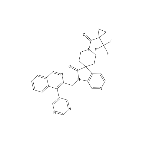 O=C1N(Cc2ncc3ccccc3c2-c2cncnc2)c2cnccc2C12CCN(C(=O)C1(C(F)(F)F)CC1)CC2